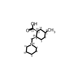 CC1CC[C@@H](CN2CCCCC2)[C@@H](C(=O)O)C1